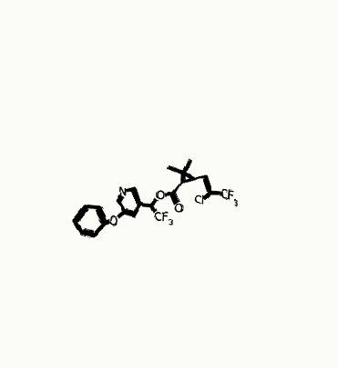 CC1(C)[C@H](C(=O)OC(c2cncc(Oc3ccccc3)c2)C(F)(F)F)[C@@H]1C=C(Cl)C(F)(F)F